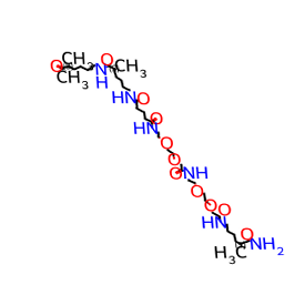 CC(=O)[C@@H](C)CCCCNC(=O)[C@@H](C)CCCCNC(=O)CCCC(=O)NCCOCCOCC(=O)NCCOCCOCC(=O)NCCCC[C@H](C)C(N)=O